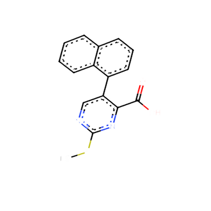 CSc1ncc(-c2cccc3ccccc23)c(C(=O)O)n1